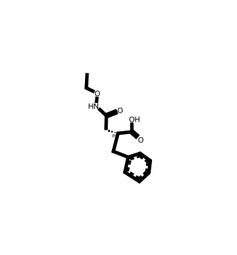 CCONC(=O)C[C@@H](Cc1ccccc1)C(=O)O